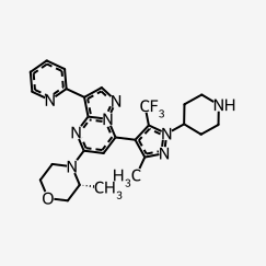 Cc1nn(C2CCNCC2)c(C(F)(F)F)c1-c1cc(N2CCOC[C@H]2C)nc2c(-c3ccccn3)cnn12